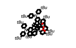 CC(C)(C)c1ccc(N(c2ccc(C(C)(C)C)cc2)c2ccc3c(c2)C(C)(C2(C)c4cc(N(c5ccc(C(C)(C)C)cc5)c5ccc(C(C)(C)C)cc5)ccc4-c4c2cc(N(c2ccc(C(C)(C)C)cc2)c2ccc(C(C)(C)C)cc2)c2ccccc42)c2cc(N(c4ccc(C(C)(C)C)cc4)c4ccc(C(C)(C)C)cc4)c4ccccc4c2-3)cc1